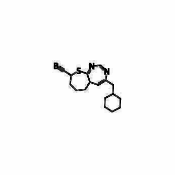 B#CC1CCCC2C=C(CC3CCCCC3)N=CN=C2S1